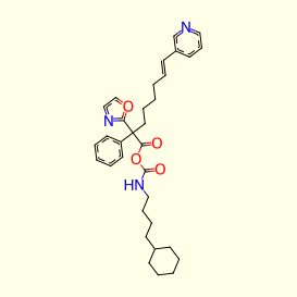 O=C(NCCCCC1CCCCC1)OC(=O)C(CCCCC=Cc1cccnc1)(c1ccccc1)c1ncco1